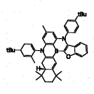 CC1=CC(C(C)(C)C)CC=C1N1C2=C(C=C3[C@@H](C2)C(C)(C)CCC3(C)C)B2c3oc4ccccc4c3N(c3ccc(C(C)(C)C)cc3)c3cc(C)cc1c32